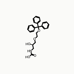 O=C(O)NC[C@@H](O)COCCOC(c1ccccc1)(c1ccccc1)c1ccccc1